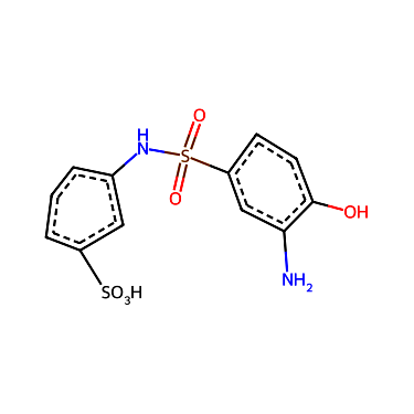 Nc1cc(S(=O)(=O)Nc2cccc(S(=O)(=O)O)c2)ccc1O